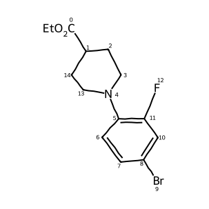 CCOC(=O)C1CCN(c2ccc(Br)cc2F)CC1